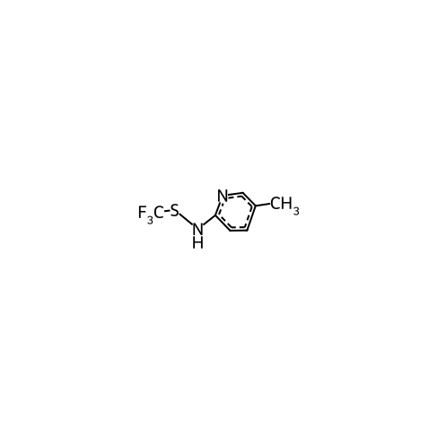 Cc1ccc(NSC(F)(F)F)nc1